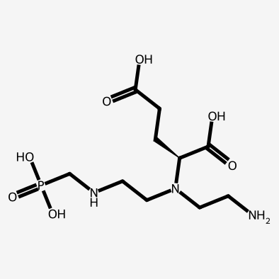 NCCN(CCNCP(=O)(O)O)[C@@H](CCC(=O)O)C(=O)O